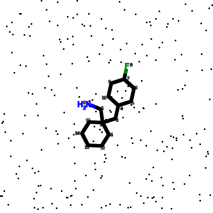 NCC1(CC2CCC(F)CC2)CCCCC1